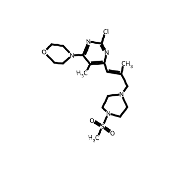 C/C(=C\c1nc(Cl)nc(N2CCOCC2)c1C)CN1CCN(S(C)(=O)=O)CC1